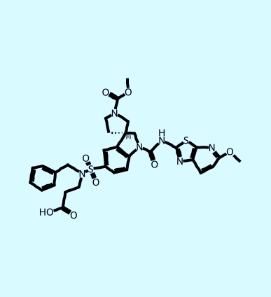 COC(=O)N1CC[C@]2(C1)CN(C(=O)Nc1nc3ccc(OC)nc3s1)c1ccc(S(=O)(=O)N(CCC(=O)O)Cc3ccccc3)cc12